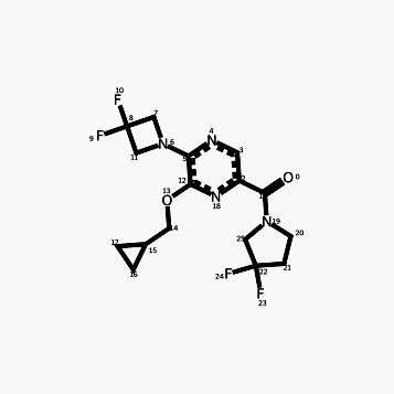 O=C(c1cnc(N2CC(F)(F)C2)c(OCC2CC2)n1)N1CCC(F)(F)C1